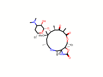 CC[C@@H]1CC(N(C)C)[C@@H](O)[C@H](O[C@@H]2[C@@H](C)C(=O)C(C)C(=O)O[C@H](CC)[C@@]3(C)OC(=O)N[C@@H]3[C@@H](C)NC[C@H](C)C[C@@]2(C)OC)O1